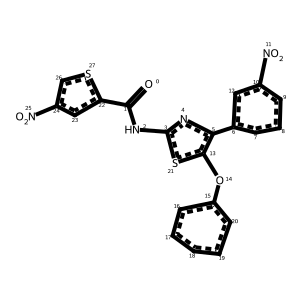 O=C(Nc1nc(-c2cccc([N+](=O)[O-])c2)c(Oc2ccccc2)s1)c1cc([N+](=O)[O-])cs1